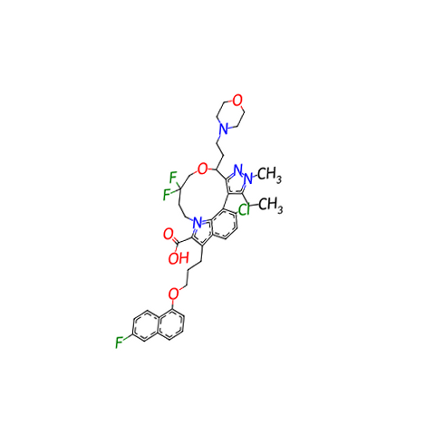 CCc1c2c(nn1C)C(CCN1CCOCC1)OCC(F)(F)CCn1c(C(=O)O)c(CCCOc3cccc4cc(F)ccc34)c3ccc(Cl)c-2c31